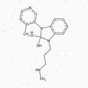 CNCCCN1c2ccccc2N(c2cnccc2C)S1(O)O